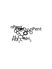 CCCCCC(=O)Oc1ccc(C(C(C)COC(=O)OC(C)CCC)[C@H](N)C(=O)O)cc1OC(=O)CCCCC